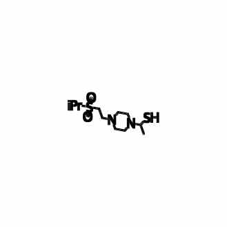 CC(S)N1CCN(CCS(=O)(=O)C(C)C)CC1